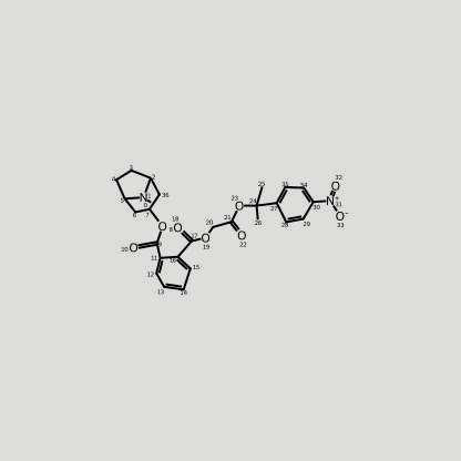 CN1C2CCC1CC(OC(=O)c1ccccc1C(=O)OCC(=O)OC(C)(C)c1ccc([N+](=O)[O-])cc1)C2